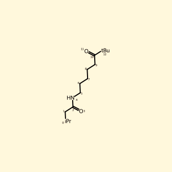 CC(C)CC(=O)NCCCCCC(=O)C(C)(C)C